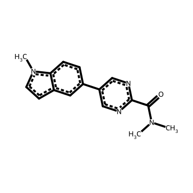 CN(C)C(=O)c1ncc(-c2ccc3c(ccn3C)c2)cn1